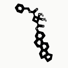 CC1(C)[C@@H](C(=O)Oc2ccc3c(ccc4c5ccc6c(c5ccc34)CC=C6)c2)C[C@H]1C(=O)OCc1ccccc1